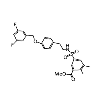 COC(=O)c1cc(S(=O)(=O)NCCc2ccc(OCc3cc(F)cc(F)c3)cc2)cc(C)c1C